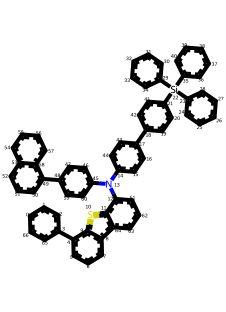 c1ccc(-c2cccc3c2sc2c(N(c4ccc(-c5ccc([Si](c6ccccc6)(c6ccccc6)c6ccccc6)cc5)cc4)c4ccc(-c5cccc6ccccc56)cc4)cccc23)cc1